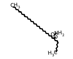 CCCCCC=CCC=CCCCCCCCCCCCCCCCCCC=C(C/C=C\CCCCC)OC(N)=O